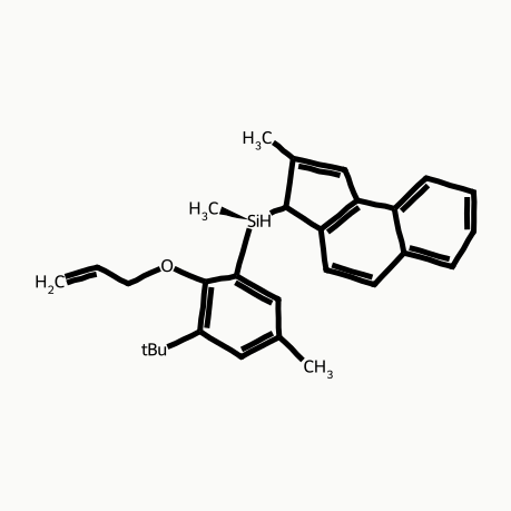 C=CCOc1c([Si@@H](C)C2C(C)=Cc3c2ccc2ccccc32)cc(C)cc1C(C)(C)C